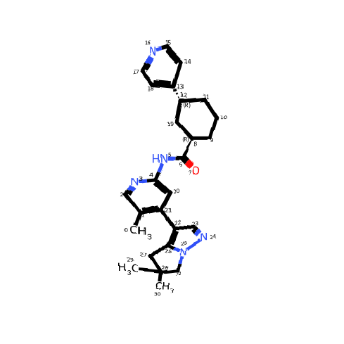 Cc1cnc(NC(=O)[C@@H]2CCC[C@@H](c3ccncc3)C2)cc1-c1cnn2c1CC(C)(C)C2